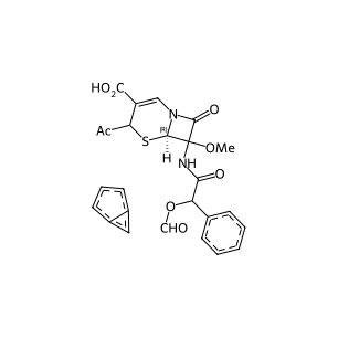 COC1(NC(=O)C(OC=O)c2ccccc2)C(=O)N2C=C(C(=O)O)C(C(C)=O)S[C@@H]21.c1cc2cc-2c1